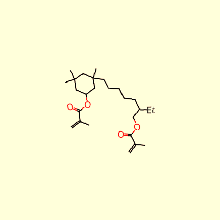 C=C(C)C(=O)OCC(CC)CCCCCC1(C)CC(OC(=O)C(=C)C)CC(C)(C)C1